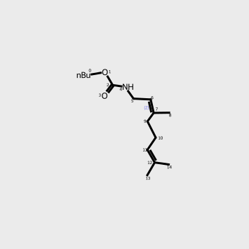 CCCCOC(=O)NC/C=C(/C)CCC=C(C)C